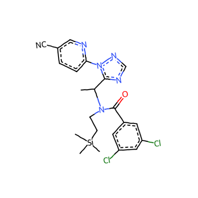 CC(c1ncnn1-c1ccc(C#N)cn1)N(CC[Si](C)(C)C)C(=O)c1cc(Cl)cc(Cl)c1